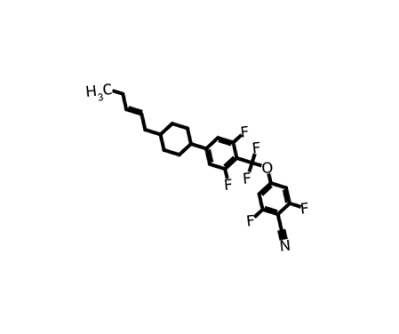 CCC=CCC1CCC(c2cc(F)c(C(F)(F)Oc3cc(F)c(C#N)c(F)c3)c(F)c2)CC1